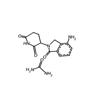 NC(N)=O.Nc1cccc2c1CN(C1CCC(=O)NC1=O)C2=O